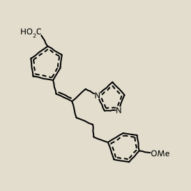 COc1ccc(CCCC(=Cc2ccc(C(=O)O)cc2)Cn2ccnc2)cc1